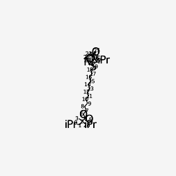 CC(C)CC(C)(C(=O)OCCCCCCCCCCCCSc1nccc(=O)n1C(C)C)C(C)C